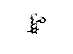 Cc1cc(C)c(CC(=C/C=C/O)/N=C/C2CCCCO2)c(C)c1C